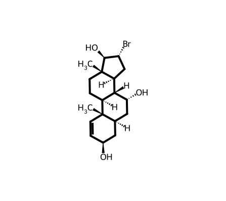 C[C@]12C=C[C@H](O)C[C@@H]1C[C@@H](O)[C@@H]1[C@@H]2CC[C@]2(C)[C@@H](O)[C@H](Br)C[C@@H]12